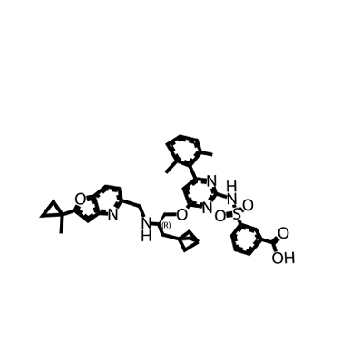 Cc1cccc(C)c1-c1cc(OC[C@@H](CC23CC(C2)C3)NCc2ccc3oc(C4(C)CC4)cc3n2)nc(NS(=O)(=O)c2cccc(C(=O)O)c2)n1